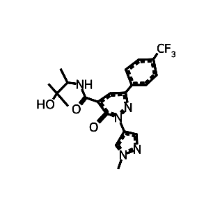 CC(NC(=O)c1cc(-c2ccc(C(F)(F)F)cc2)nn(-c2cnn(C)c2)c1=O)C(C)(C)O